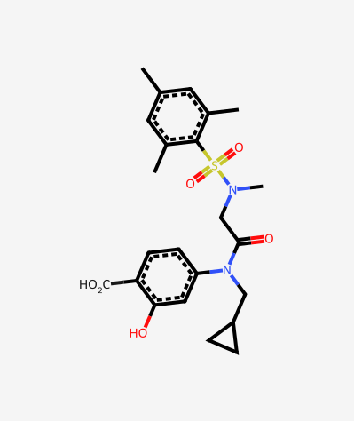 Cc1cc(C)c(S(=O)(=O)N(C)CC(=O)N(CC2CC2)c2ccc(C(=O)O)c(O)c2)c(C)c1